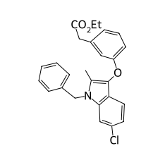 CCOC(=O)Cc1cccc(Oc2c(C)n(Cc3ccccc3)c3cc(Cl)ccc23)c1